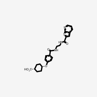 O=C(NCCNC(=O)c1cc2cccnc2s1)c1ccc(O[C@H]2CC[C@@H](C(=O)O)CC2)cc1